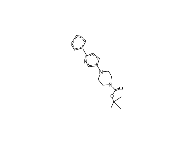 CC(C)(C)OC(=O)N1CCN(c2ccc(-c3ccccc3)nc2)CC1